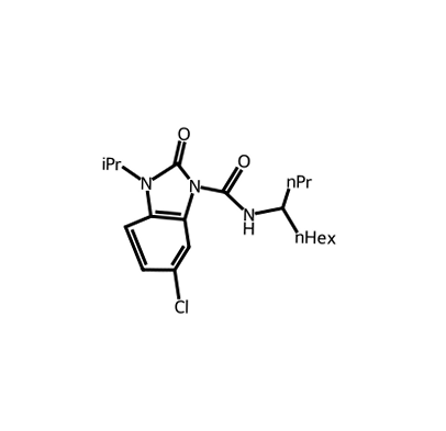 CCCCCCC(CCC)NC(=O)n1c(=O)n(C(C)C)c2ccc(Cl)cc21